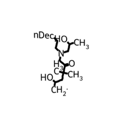 [CH2]C(O)CC(C)(C)C(=O)CN(CCCCCCCCCCCC)CC(C)O